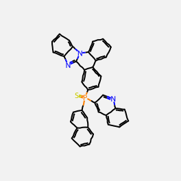 S=P(c1ccc2ccccc2c1)(c1cnc2ccccc2c1)c1ccc2c3ccccc3n3c4ccccc4nc3c2c1